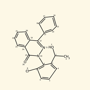 CC(O)c1cccc(Cl)c1-n1nc(-c2ccccc2)c2ccccc2c1=O